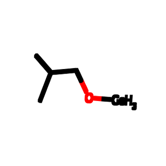 CC(C)C[O][GeH3]